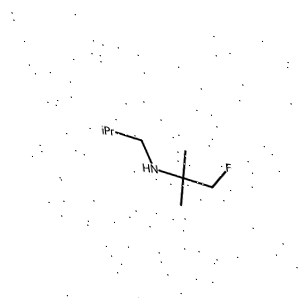 CC(C)CNC(C)(C)CF